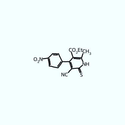 CCOC(=O)c1c(C)[nH]c(=S)c(C#N)c1-c1ccc([N+](=O)[O-])cc1